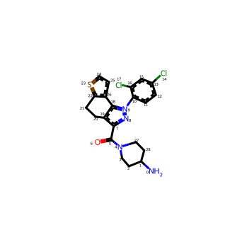 NC1CCN(C(=O)c2nn(-c3ccc(Cl)cc3Cl)c3c2CCc2sccc2-3)CC1